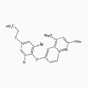 COc1cc(OC)c2cc(Oc3c(Br)cc(OCC(=O)O)cc3Br)ccc2n1